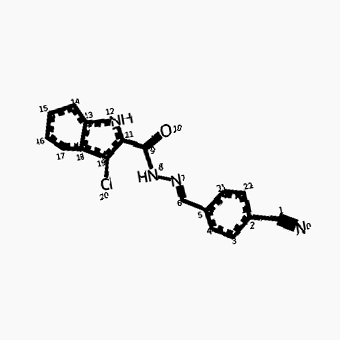 N#Cc1ccc(C=NNC(=O)c2[nH]c3ccccc3c2Cl)cc1